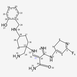 N=C(NC1=CC(F)=NCC1)/C(=C\NC1(CN)CCC(NCc2ccccc2O)CC1)C(N)=O